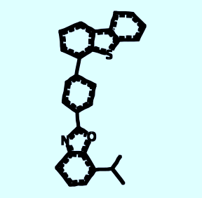 CC(C)c1cccc2nc(-c3ccc(-c4cccc5c4sc4ccccc45)cc3)oc12